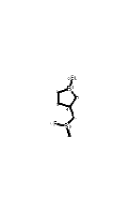 CCB1CCC(CB(C)F)C1